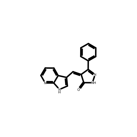 O=C1NN=C(c2ccccc2)C1=Cc1c[nH]c2ncccc12